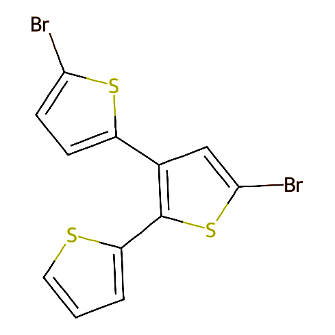 Brc1ccc(-c2cc(Br)sc2-c2cccs2)s1